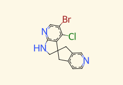 Clc1c(Br)cnc2c1C1(CN2)Cc2ccncc2C1